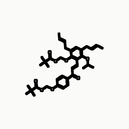 CC=CCc1cc(CC=CC)c(OC(C)C)c(C=CC(=O)c2ccc(OCOC(=O)C(C)(C)C)cc2)c1OCOC(=O)C(C)(C)C